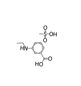 CCNc1cccc(C(=O)O)c1.CS(=O)(=O)O